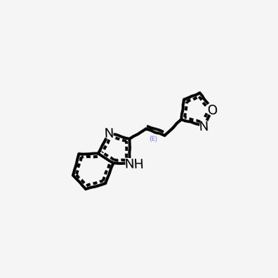 C(=C\c1nc2ccccc2[nH]1)/c1ccon1